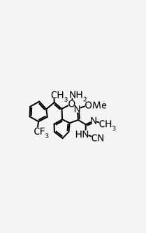 CN=C(NC#N)C(=NOC)c1ccccc1C(ON)=C(C)c1cccc(C(F)(F)F)c1